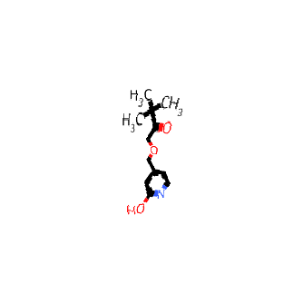 CC(C)(C)C(=O)COCc1ccnc(O)c1